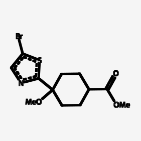 COC(=O)C1CCC(OC)(c2ncc(Br)s2)CC1